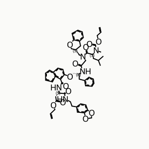 C=CCOC(=O)C[C@H](NC(=O)c1c(OC[C@@H](Cc2ccccc2)NC(=O)CN(C[C@H]2COc3ccccc3C2)C(=O)[C@H](CC(C)C)N(C)C(=O)OCC=C)ccc2ccccc12)C(=O)NCCc1ccc2c(c1)OCO2